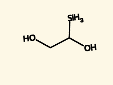 OCC(O)[SiH3]